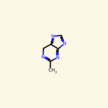 CC1=NCC2=NC=NC2=N1